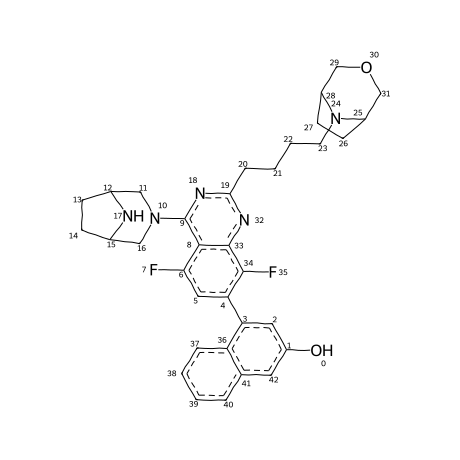 Oc1cc(-c2cc(F)c3c(N4CC5CCC(C4)N5)nc(CCCCN4C5CCC4COC5)nc3c2F)c2ccccc2c1